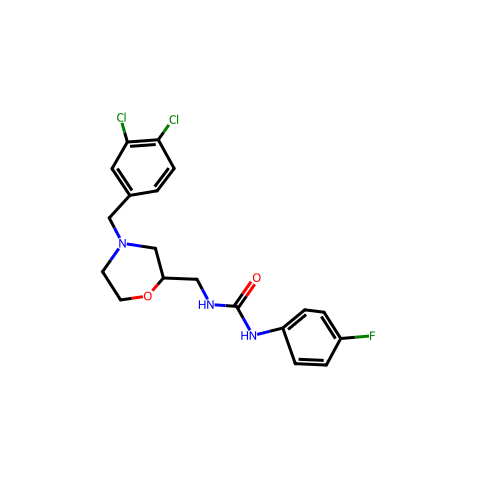 O=C(NCC1CN(Cc2ccc(Cl)c(Cl)c2)CCO1)Nc1ccc(F)cc1